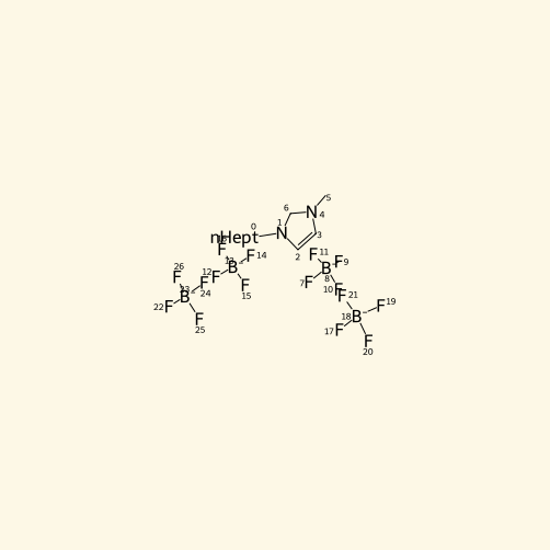 CCCCCCCN1C=CN(C)C1.F[B-](F)(F)F.F[B-](F)(F)F.F[B-](F)(F)F.F[B-](F)(F)F